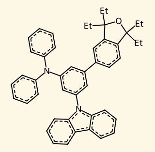 CCC1(CC)OC(CC)(CC)c2cc(-c3cc(N(c4ccccc4)c4ccccc4)cc(-n4c5ccccc5c5ccccc54)c3)ccc21